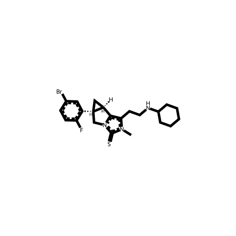 Cn1c(CCNC2CCCCC2)c2n(c1=S)C[C@@]1(c3cc(Br)ccc3F)C[C@@H]21